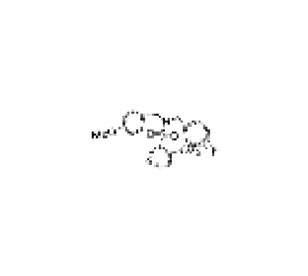 COc1ccc(CN(Cc2ccc(F)cc2)S(=O)(=O)c2ccccc2C(=O)O)cc1